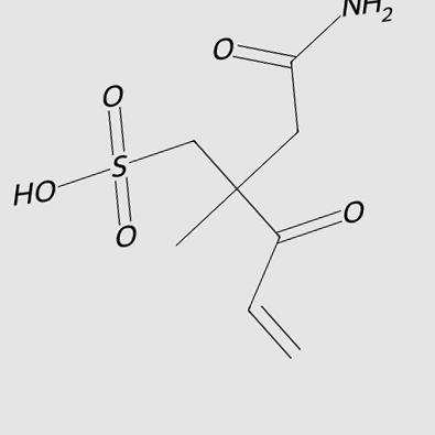 C=CC(=O)C(C)(CC(N)=O)CS(=O)(=O)O